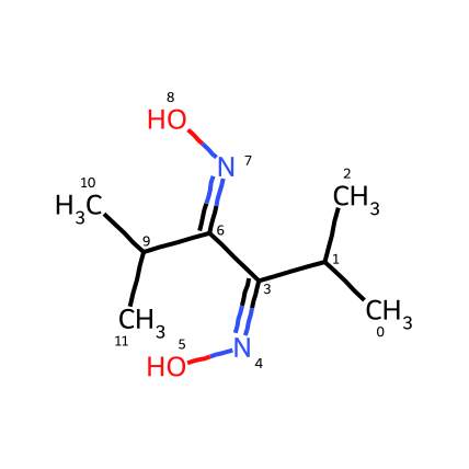 CC(C)C(=NO)C(=NO)C(C)C